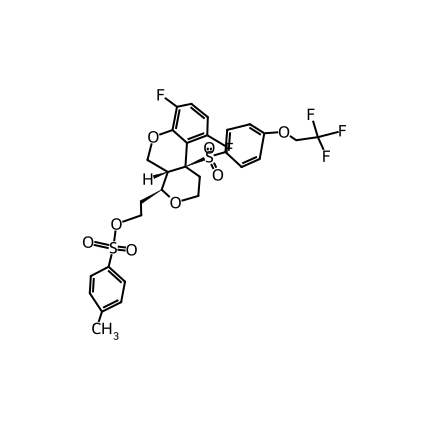 Cc1ccc(S(=O)(=O)OCC[C@@H]2OCC[C@@]3(S(=O)(=O)c4ccc(OCC(F)(F)F)cc4)c4c(F)ccc(F)c4OC[C@@H]23)cc1